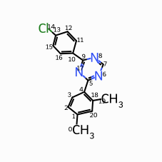 Cc1ccc(-c2ncnc(-c3ccc(Cl)cc3)n2)c(C)c1